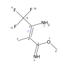 COC(=N)/C(C)=C(\N)C(F)(F)F